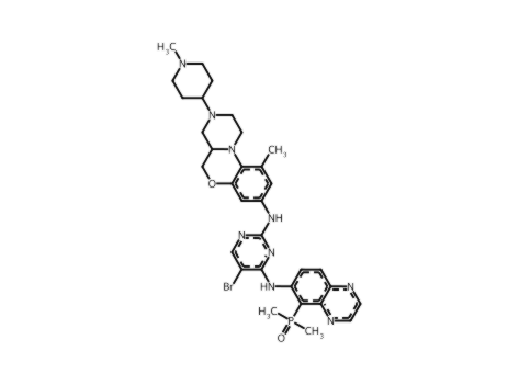 Cc1cc(Nc2ncc(Br)c(Nc3ccc4nccnc4c3P(C)(C)=O)n2)cc2c1N1CCN(C3CCN(C)CC3)CC1CO2